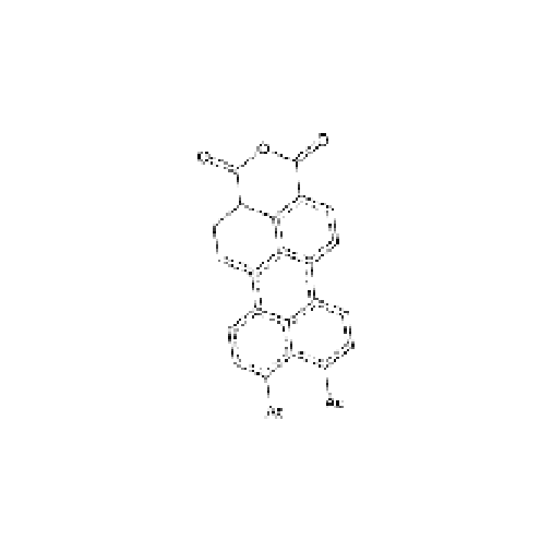 CC(=O)c1ccc2c3c4c5c(ccc4c4ccc(C(C)=O)c1c24)C(=O)OC(=O)C5CC=3